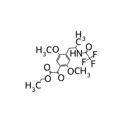 CCOC(=O)C(=O)c1cc(OC)c(CC(C)NC(=O)C(F)(F)F)cc1OC